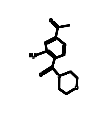 Bc1cc(C(C)=O)ccc1C(=O)N1CCOCC1